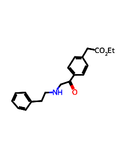 CCOC(=O)Cc1ccc(C(=O)CNCCc2ccccc2)cc1